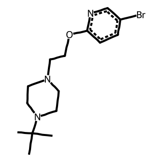 CC(C)(C)N1CCN(CCOc2ccc(Br)cn2)CC1